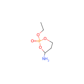 CCOP1(=O)OCCC(N)O1